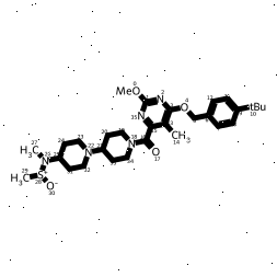 COc1nc(OCc2ccc(C(C)(C)C)cc2)c(C)c(C(=O)N2CCC(N3CCC(N(C)[S+](C)[O-])CC3)CC2)n1